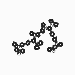 c1ccc2c(c1)oc1cc3c4ccccc4n(-c4ccc(-c5ccc(-c6cc(-n7c8ccccc8c8ccccc87)cc(-n7c8ccccc8c8cc(-c9ccc%10c(c9)c9ccccc9n%10-c9cc(-c%10ccc(-c%11ccc(-n%12c%13ccccc%13c%13ccc%14oc%15ccccc%15c%14c%13%12)cc%11)cc%10)cc(-n%10c%11ccccc%11c%11ccccc%11%10)c9)ccc87)c6)cc5)cc4)c3cc12